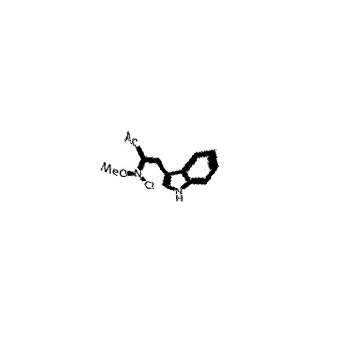 CON(Cl)C(Cc1c[nH]c2ccccc12)C(C)=O